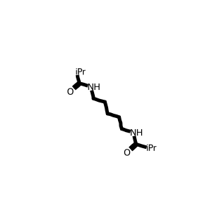 CC(C)C(=O)NCCCCCNC(=O)C(C)C